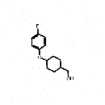 OCC1CCC(Oc2ccc(F)cc2)CC1